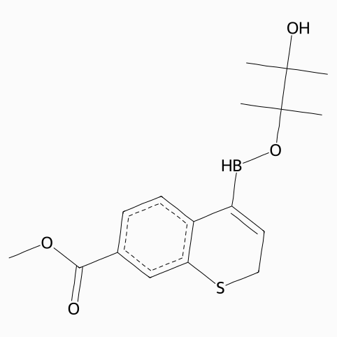 COC(=O)c1ccc2c(c1)SCC=C2BOC(C)(C)C(C)(C)O